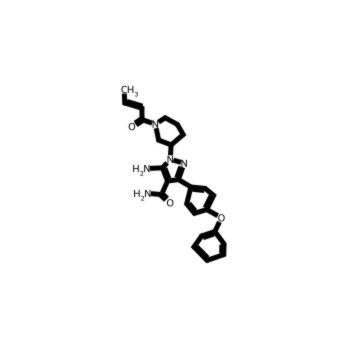 C/C=C/C(=O)N1CCCC(n2nc(-c3ccc(Oc4ccccc4)cc3)c(C(N)=O)c2N)C1